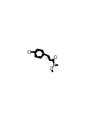 CON(C)C(=O)/C=C/c1ccc(Cl)cc1